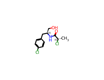 C[C@H](Cl)C(=O)N[C@H](CO)Cc1ccc(Cl)cc1